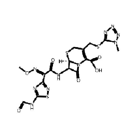 CO/N=C(/C(=O)NC1C(=O)N2C(C(=O)O)=C(CSc3nnnn3C)CS[C@H]12)c1nsc(NC=O)n1